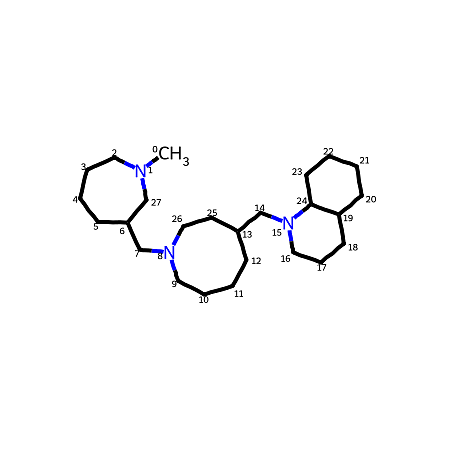 CN1CCCCC(CN2CCCCC(CN3CCCC4CCCCC43)CC2)C1